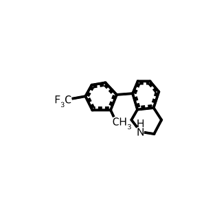 Cc1cc(C(F)(F)F)ccc1-c1cccc2c1CNCC2